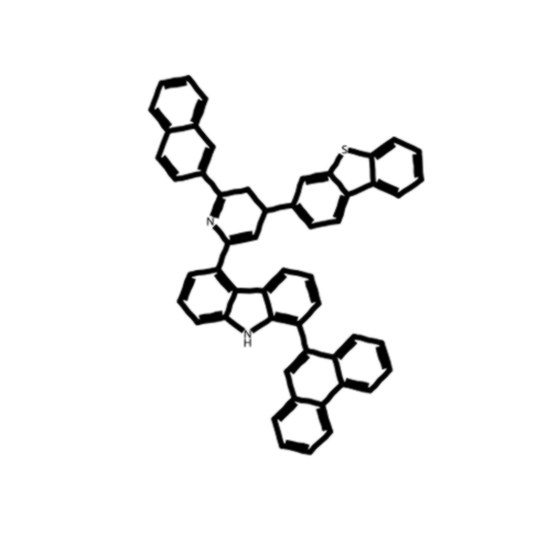 C1=C(c2cccc3[nH]c4c(-c5cc6ccccc6c6ccccc56)cccc4c23)N=C(c2ccc3ccccc3c2)CC1c1ccc2c(c1)sc1ccccc12